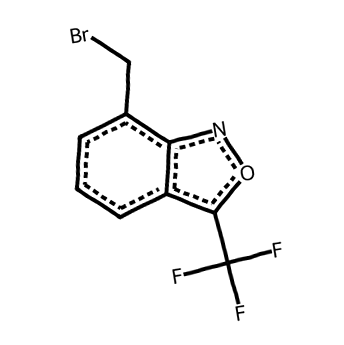 FC(F)(F)c1onc2c(CBr)cccc12